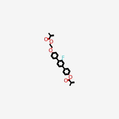 C=C(C)C(=O)OCCOc1ccc(-c2ccc(-c3ccc(OC(=O)C(=C)C)cc3)cc2F)cc1